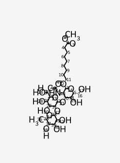 COC(=O)CCCCCCCCO[C@@H]1O[C@H](CO)[C@@H](O)[C@H](O[C@@H]2O[C@H](CO)[C@H](O)[C@H](O)[C@H]2O[C@@H]2O[C@@H](C)[C@@H](O)[C@@H](O)[C@@H]2O)[C@H]1NC(C)=O